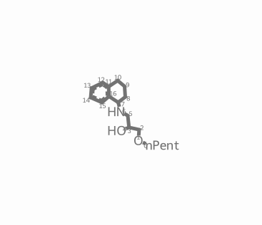 CCCCCOCC(O)CNC1CCCc2ccccc21